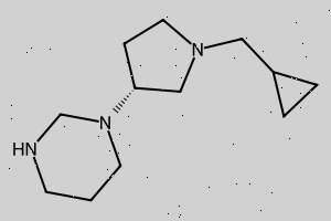 C1CNCN([C@@H]2CCN(CC3CC3)C2)C1